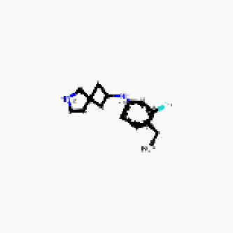 N#CCc1ccc(NC2CC3(CCNC3)C2)cc1F